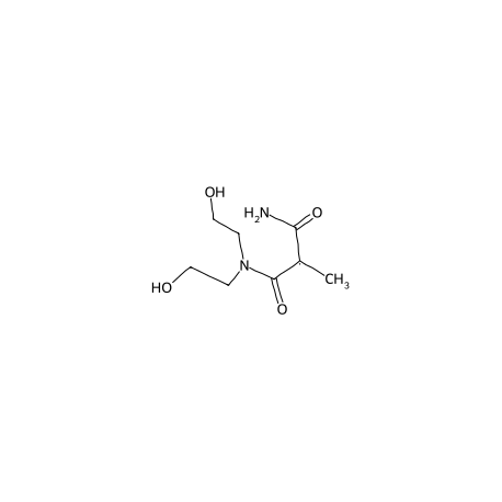 C[C](C(N)=O)C(=O)N(CCO)CCO